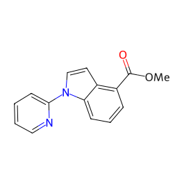 COC(=O)c1cccc2c1ccn2-c1ccccn1